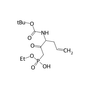 C=CCC(NC(=O)OC(C)(C)C)C(=O)CP(=O)(O)OCC